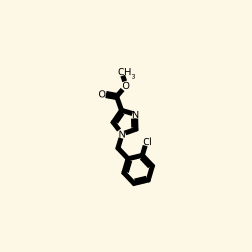 COC(=O)c1cn(Cc2ccccc2Cl)cn1